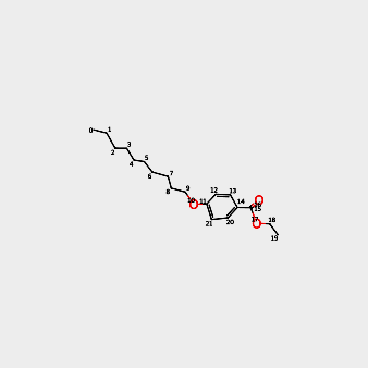 CCCCCCCCCCOc1ccc(C(=O)OCC)cc1